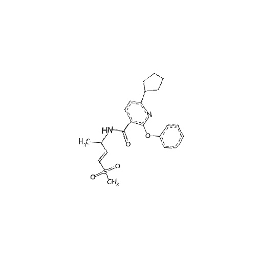 CC(/C=C/S(C)(=O)=O)NC(=O)c1ccc(C2CCCC2)nc1Oc1ccccc1